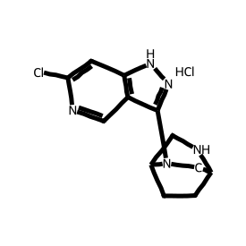 Cl.Clc1cc2[nH]nc(N3CC4CCC3CN4)c2cn1